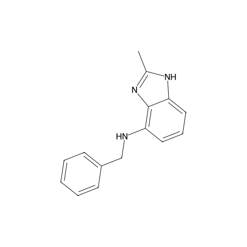 Cc1nc2c(NCc3ccccc3)cccc2[nH]1